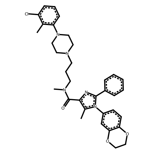 Cc1c(Cl)cccc1N1CCN(CCCN(C)C(=O)c2nc(-c3ccccc3)n(-c3ccc4c(c3)OCCO4)c2C)CC1